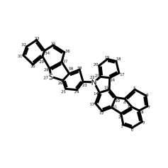 c1cc2c3c(cccc3c1)-c1c-2ccc2c1c1ccccc1n2-c1ccc2sc3c4ccccc4ccc3c2c1